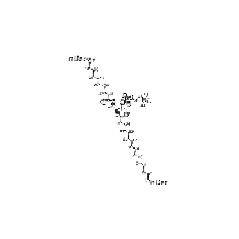 CCCCCCCCCCCCCCCCCCCCCCCCCC(=O)O[C@H](COC(=O)CCCCCCCCCCCCCCCCCCC)COP(=O)([O-])OCC[N+](C)(C)C